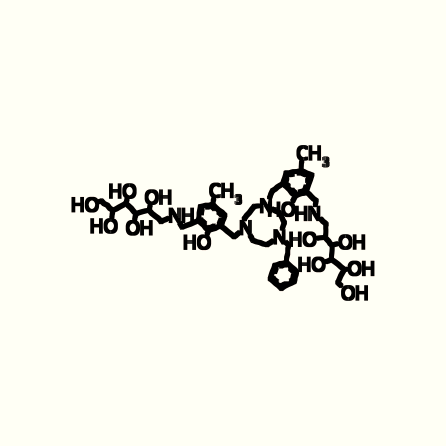 Cc1cc(CNCC(O)C(O)C(O)C(O)CO)c(O)c(CN2CCN(Cc3ccccc3)CCN(Cc3cc(C)cc(CNCC(O)C(O)C(O)C(O)CO)c3O)CC2)c1